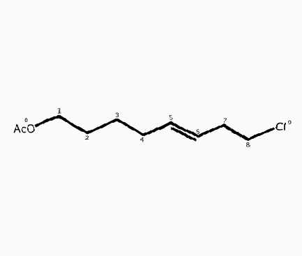 CC(=O)OCCCCC=CCCCl